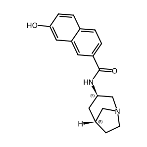 O=C(N[C@@H]1C[C@H]2CCN(C2)C1)c1ccc2ccc(O)cc2c1